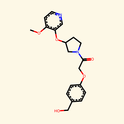 COc1ccncc1OC1CCN(C(=O)COc2ccc(CO)cc2)C1